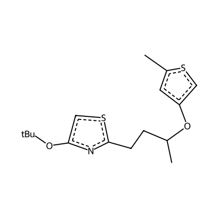 Cc1cc(OC(C)CCc2nc(OC(C)(C)C)cs2)cs1